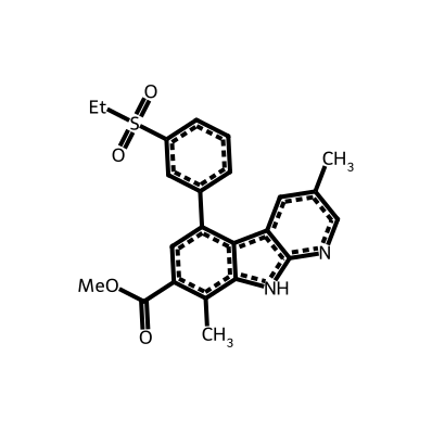 CCS(=O)(=O)c1cccc(-c2cc(C(=O)OC)c(C)c3[nH]c4ncc(C)cc4c23)c1